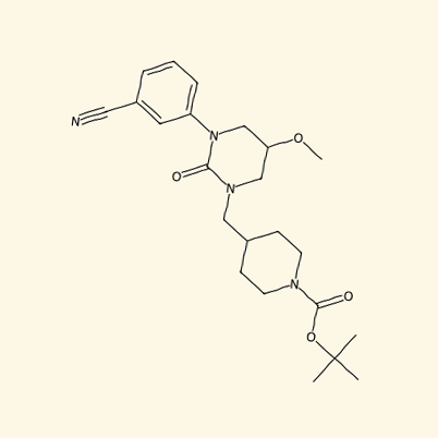 COC1CN(CC2CCN(C(=O)OC(C)(C)C)CC2)C(=O)N(c2cccc(C#N)c2)C1